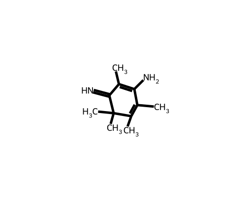 CC1=C(N)C(C)=C(C)C(C)(C)C1=N